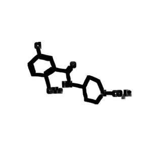 CCOC(=O)N1CCC(NC(=O)c2cc(Cl)ccc2OC)CC1